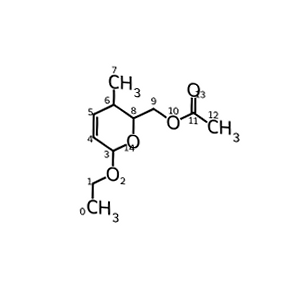 CCOC1C=CC(C)C(COC(C)=O)O1